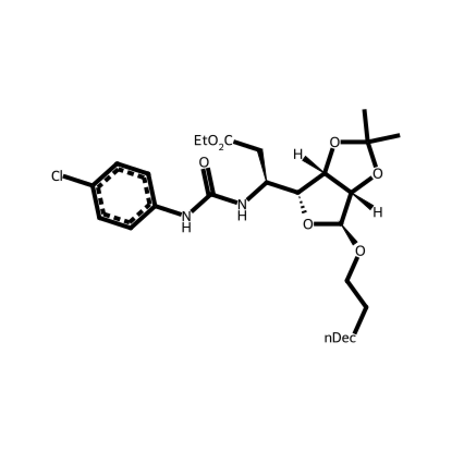 CCCCCCCCCCCCO[C@H]1O[C@H]([C@H](CC(=O)OCC)NC(=O)Nc2ccc(Cl)cc2)[C@@H]2OC(C)(C)O[C@H]12